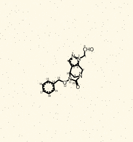 O=CCn1ncc2c1CN1CC2N(OCc2ccccc2)C1=O